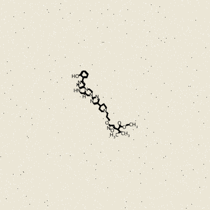 CCOC(=O)C(c1cc(OCCCN2CCC(c3cnc(N4CCN5c6cc(-c7ccccc7O)nnc6NC[C@H]5C4)nc3)CC2)no1)C(C)C